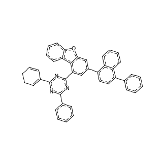 C1=CC(c2nc(-c3ccccc3)nc(-c3cc(-c4ccc(-c5ccccc5)c5ccccc45)cc4oc5ccccc5c34)n2)=CCC1